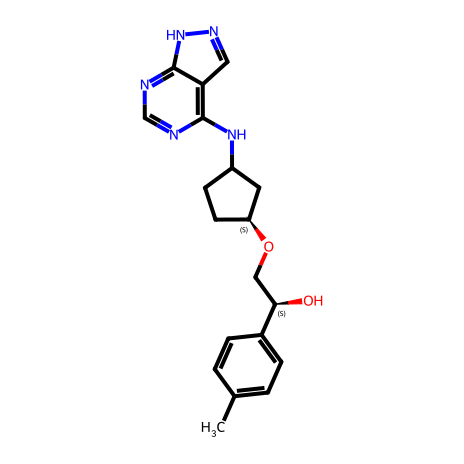 Cc1ccc([C@H](O)CO[C@H]2CCC(Nc3ncnc4[nH]ncc34)C2)cc1